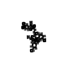 CC(CCCS(=O)(=O)N[C@@H]1CCS(=O)(=O)C1)N(c1cc(Cl)ccc1Cl)S(=O)(=O)c1ccc(Cl)cc1